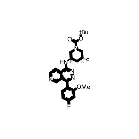 COc1cc(F)ccc1-c1nnc(N[C@@H]2C[C@@H](F)CN(C(=O)OC(C)(C)C)C2)c2ccncc12